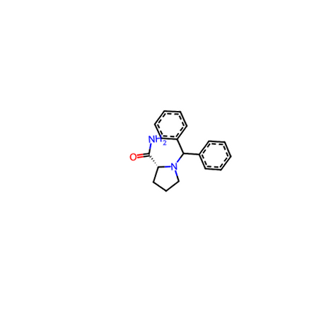 NC(=O)[C@H]1CCCN1C(c1ccccc1)c1ccccc1